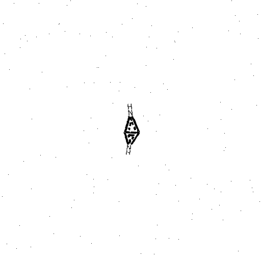 [nH]1c2[nH]c1=2